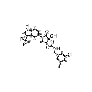 O=C(NCc1cc(F)cc(Cl)c1)O[C@]1(O)CCN(c2ccc3[nH]cc(C(F)(F)F)c3c2)C1=O